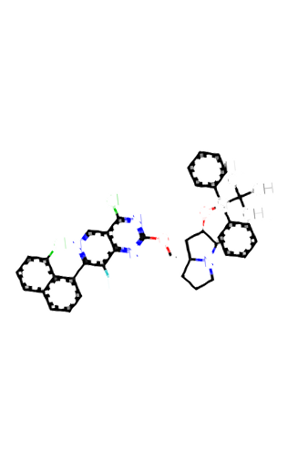 CC(C)(C)[Si](O[C@H]1CN2CCC[C@@]2(COc2nc(Cl)c3cnc(-c4cccc5cccc(Cl)c45)c(F)c3n2)C1)(c1ccccc1)c1ccccc1